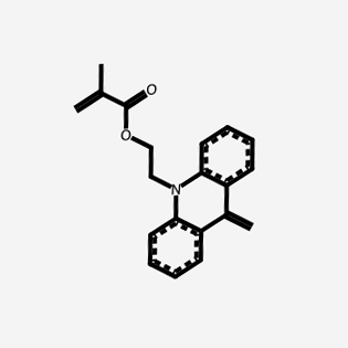 C=C(C)C(=O)OCCN1c2ccccc2C(=C)c2ccccc21